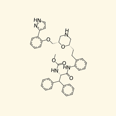 COC(=O)N[C@H](C(=O)Nc1ccccc1CC[C@H]1CNC[C@@H](COc2ccccc2-c2cc[nH]n2)O1)C(c1ccccc1)c1ccccc1